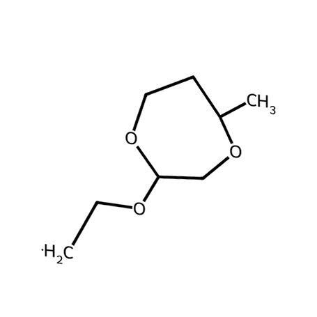 [CH2]COC1COC(C)CCO1